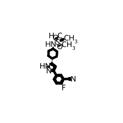 CC(C)(C)S(=O)(=O)N[C@H]1CC[C@H](c2cc(-c3ccc(F)c(C#N)c3)n[nH]2)CC1